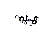 O=C(N/N=C/c1c(O)ccc2ccccc12)c1ccc(Cl)cn1